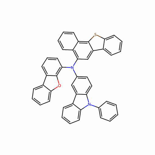 c1ccc(-n2c3ccccc3c3cc(N(c4cc5c6ccccc6sc5c5ccccc45)c4cccc5c4oc4ccccc45)ccc32)cc1